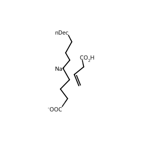 C=CCC(=O)O.CCCCCCCCCCCCCCCCCC(=O)[O-].[Na+]